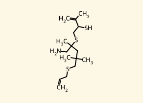 C=CCSCC(C)(C)CC(C)(CN)SCC(S)C(=C)C